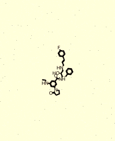 CCNc1cc(C(=O)N[C@@H](Cc2ccccc2)[C@@H](O)CNC/C=C/c2ccc(F)cc2)cc(N2CCCC2=O)c1